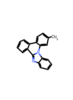 Cc1ccc2c3ccccc3c3nc4ccccc4n3c2c1